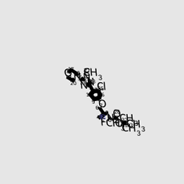 CN(C/C(=C\F)COc1ccc(-c2nc(N3CCOCC3)n(C)n2)c(Cl)c1)C(=O)OC(C)(C)C